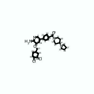 Nc1ncc(-c2ccc(C(=O)N3CCC(N4CCCC4)CC3)cc2)cc1OCc1ccc(Cl)c(Cl)c1